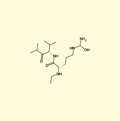 CCN[C@@H](CCCNC(N)O)C(=O)N[C@H](C(=O)C(C)C)C(C)C